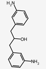 Nc1cccc(CC(O)Cc2cccc(N)c2)c1